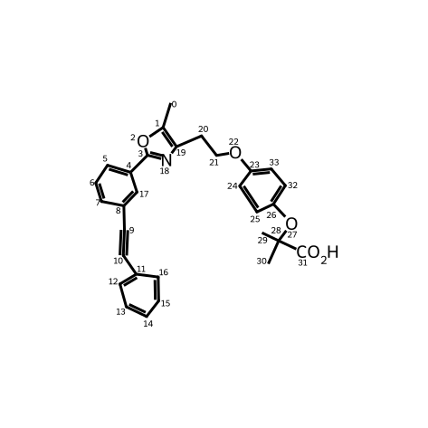 Cc1oc(-c2cccc(C#Cc3ccccc3)c2)nc1CCOc1ccc(OC(C)(C)C(=O)O)cc1